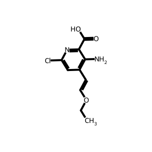 CCOC=Cc1cc(Cl)nc(C(=O)O)c1N